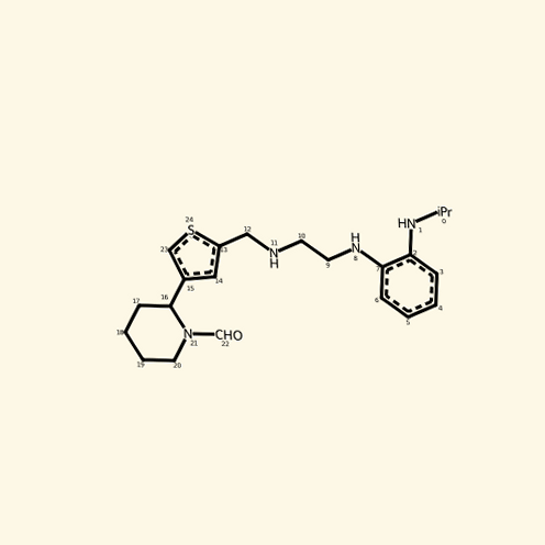 CC(C)Nc1ccccc1NCCNCc1cc(C2CCCCN2C=O)cs1